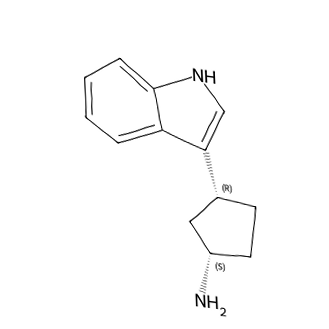 N[C@H]1CC[C@@H](c2c[nH]c3ccccc23)C1